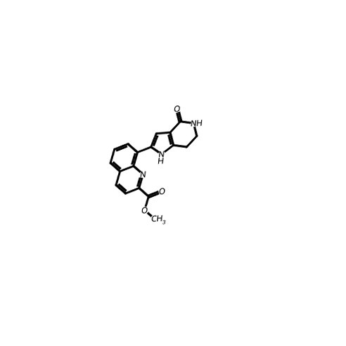 COC(=O)c1ccc2cccc(-c3cc4c([nH]3)CCNC4=O)c2n1